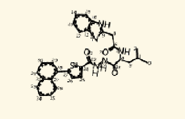 CC(C)C[C@H](NC(=O)Cc1nc2ccccc2[nH]1)C(=O)NNC(=O)c1ccc(-c2cccc3ccccc23)s1